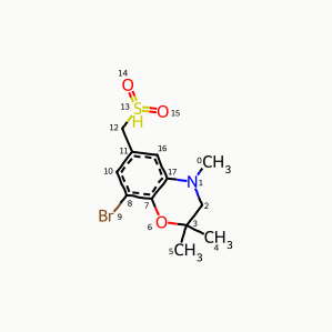 CN1CC(C)(C)Oc2c(Br)cc(C[SH](=O)=O)cc21